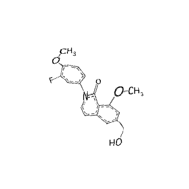 COc1ccc(-n2ccc3cc(CO)cc(OC)c3c2=O)cc1F